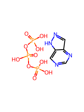 O=P(O)(O)OP(=O)(O)OP(=O)(O)O.c1ncc2[nH]ncc2n1